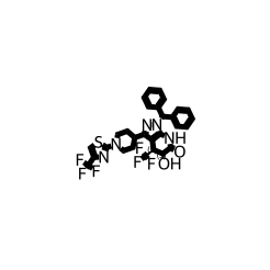 O=C1Nc2c(c(C3CCN(c4nc(C(F)(F)F)cs4)CC3)nn2C(c2ccccc2)c2ccccc2)[C@H](C(F)(F)F)[C@@H]1O